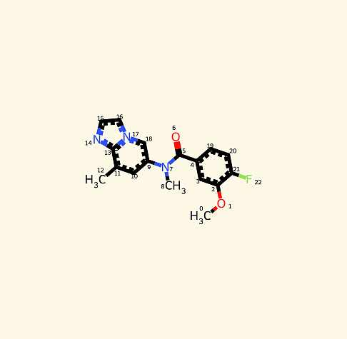 COc1cc(C(=O)N(C)c2cc(C)c3nccn3c2)ccc1F